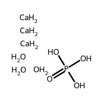 O.O.O.O=P(O)(O)O.[CaH2].[CaH2].[CaH2]